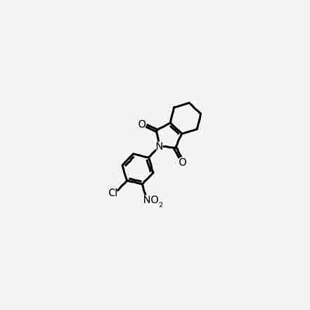 O=C1C2=C(CCCC2)C(=O)N1c1ccc(Cl)c([N+](=O)[O-])c1